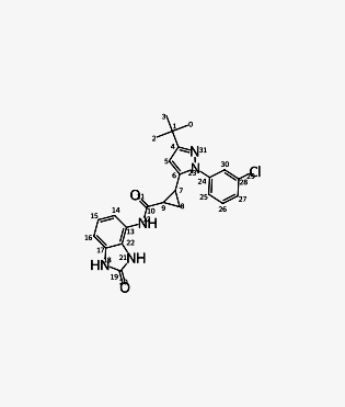 CC(C)(C)c1cc(C2CC2C(=O)Nc2cccc3[nH]c(=O)[nH]c23)n(-c2cccc(Cl)c2)n1